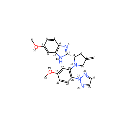 C=C1C[C@@H](c2nc3ccc(OC)cc3[nH]2)N(c2cc(OC)c[c]c2-n2nccn2)C1